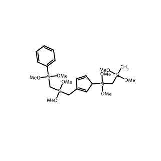 CO[Si](C)(C[Si](OC)(OC)C1C=CC(C[Si](C[Si](OC)(OC)c2ccccc2)(OC)OC)=C1)OC